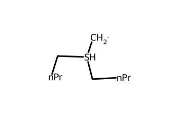 [CH2][SH](CCCC)CCCC